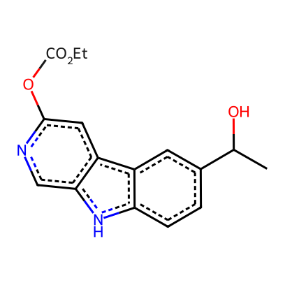 CCOC(=O)Oc1cc2c(cn1)[nH]c1ccc(C(C)O)cc12